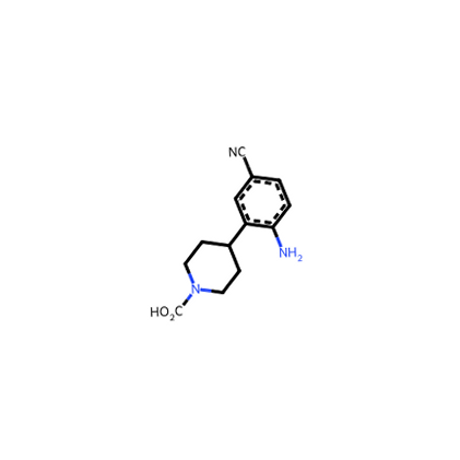 N#Cc1ccc(N)c(C2CCN(C(=O)O)CC2)c1